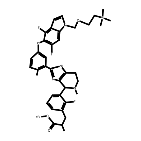 CC(Cc1cccc(C2c3nc(-c4cc(Oc5c(F)cc6c(ccn6COCC[Si](C)(C)C)c5F)ccc4F)[nH]c3CCN2C)c1F)C(=O)OC(C)(C)C